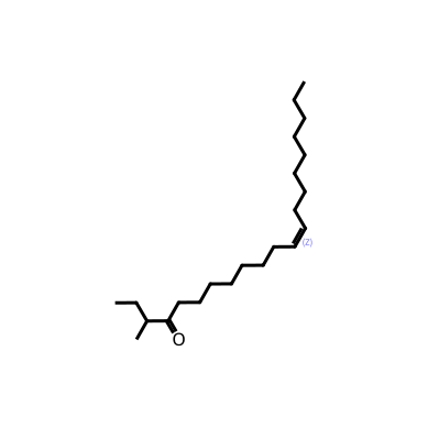 CCCCCCCC/C=C\CCCCCCCC(=O)C(C)CC